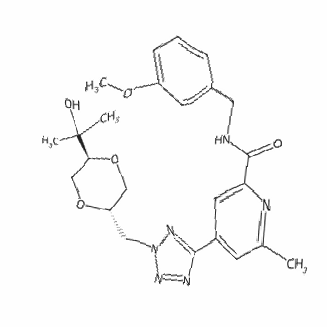 COc1cccc(CNC(=O)c2cc(-c3nnn(C[C@H]4CO[C@H](C(C)(C)O)CO4)n3)cc(C)n2)c1